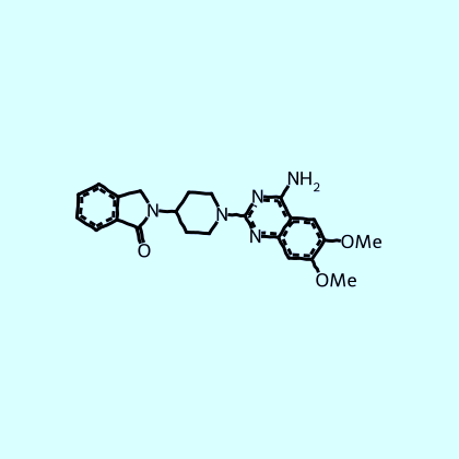 COc1cc2nc(N3CCC(N4Cc5ccccc5C4=O)CC3)nc(N)c2cc1OC